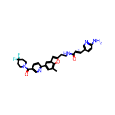 Cc1cc(-c2ccc(C(=O)N3CCC(F)(F)CC3)cn2)cc2cc(CCNC(=O)/C=C/c3ccc(N)nc3)oc12